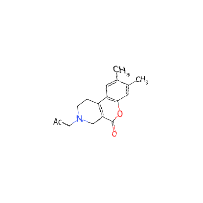 CC(=O)CN1CCc2c(c(=O)oc3cc(C)c(C)cc23)C1